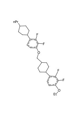 CCCC1CCC(c2ccc(OCC3CCC(c4ccc(OCC)c(F)c4F)CC3)c(F)c2F)CC1